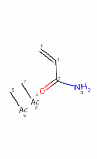 C=CC(N)=O.CC(C)=O.CC(C)=O